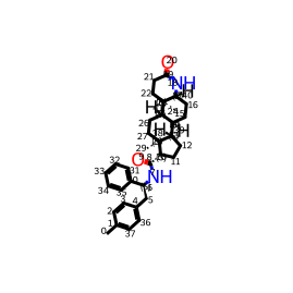 Cc1ccc(C[C@H](NC(=O)[C@H]2CC[C@H]3[C@@H]4CC[C@H]5NC(=O)CC[C@]5(C)[C@H]4CC[C@]23C)c2ccccc2)cc1